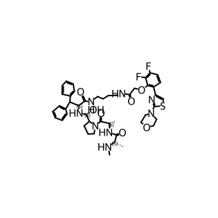 CN[C@@H](C)C(=O)N[C@@H](C)C(=O)N1CCCC1[C@@H](O)N[C@H](C(=O)NCCCCNC(=O)COc1c(-c2csc(N3CCOCC3)n2)ccc(F)c1F)C(c1ccccc1)c1ccccc1